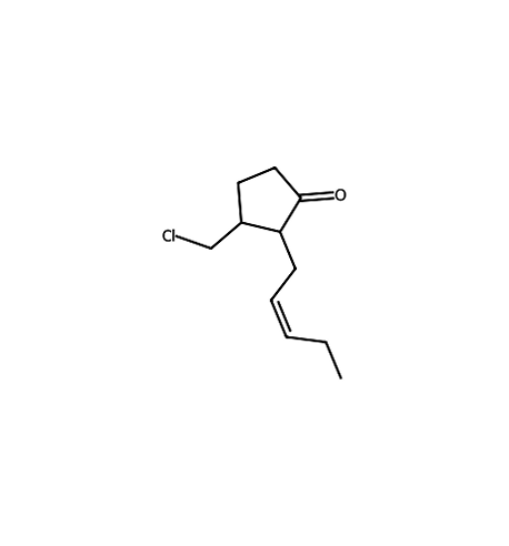 CC/C=C\CC1C(=O)CCC1CCl